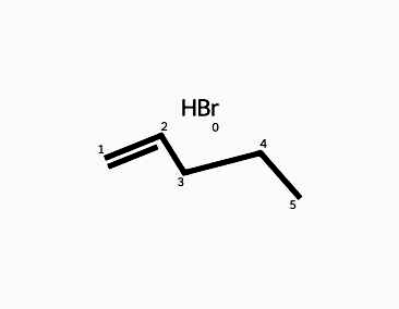 Br.C=CCCC